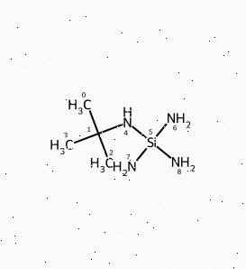 CC(C)(C)N[Si](N)(N)N